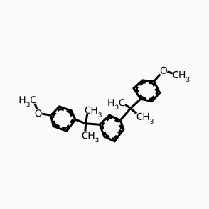 COc1ccc(C(C)(C)c2cccc(C(C)(C)c3ccc(OC)cc3)c2)cc1